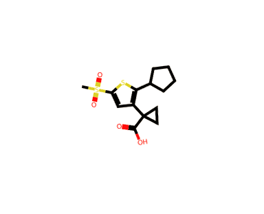 CS(=O)(=O)c1cc(C2(C(=O)O)CC2)c(C2CCCC2)s1